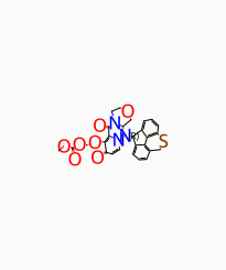 COC(=O)OCOc1c2n(ccc1=O)N([C@@H]1c3cccc4c3-c3c(cccc31)SC4)C1COCCN1C2=O